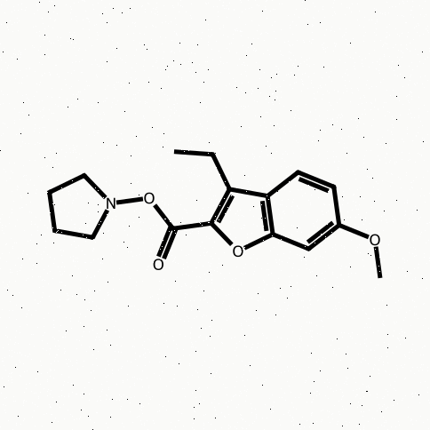 CCc1c(C(=O)ON2CCCC2)oc2cc(OC)ccc12